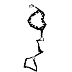 CC(C)(C)c1ccc(OCCN2CCC2)cc1